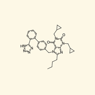 CCCCc1nc2c(c(=O)n(CC3CC3)c(=O)n2CC2CC2)n1Cc1ccc(-c2ccccc2-c2nnn[nH]2)cc1